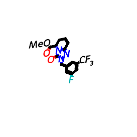 COC(=O)C1CCCc2nn(Cc3cc(F)cc(C(F)(F)F)c3)c(=O)n21